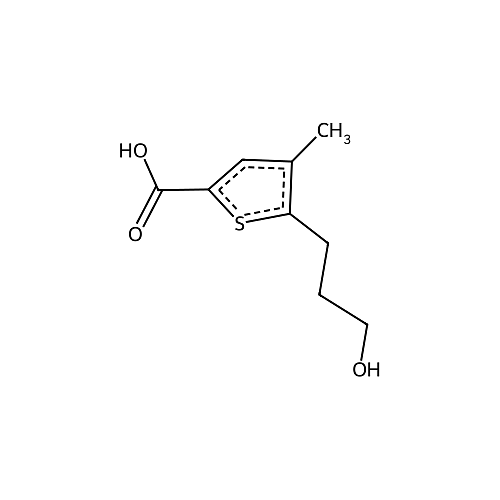 Cc1cc(C(=O)O)sc1CCCO